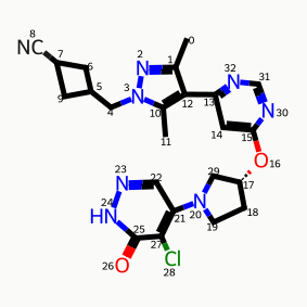 Cc1nn(CC2CC(C#N)C2)c(C)c1-c1cc(O[C@@H]2CCN(c3cn[nH]c(=O)c3Cl)C2)ncn1